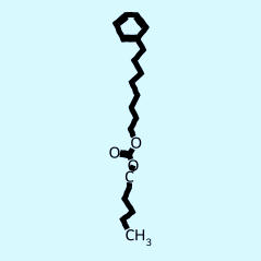 CCCCCCOC(=O)OCCCCCCCCc1ccccc1